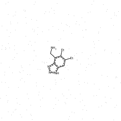 CCc1cc2[nH]nnc2c(CN)c1CC